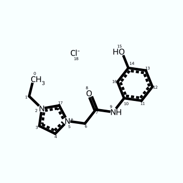 CCn1cc[n+](CC(=O)Nc2cccc(O)c2)c1.[Cl-]